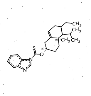 CCC1CC=C2C[C@@H](OC(=S)n3cnc4ccccc43)CC[C@]2(C)C1C(C)C